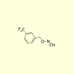 [CH]=NOCc1cccc(C(F)(F)F)c1